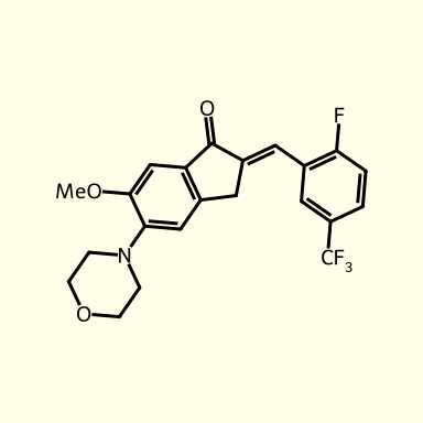 COc1cc2c(cc1N1CCOCC1)C/C(=C\c1cc(C(F)(F)F)ccc1F)C2=O